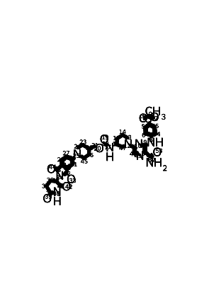 CS(=O)(=O)c1ccc(Nc2nc(N3CCC[C@@H](NC(=O)OCC4CCN(c5ccc6c(c5)C(=O)N([C@H]5CCC(=O)NC5=O)C6=O)CC4)C3)cnc2C(N)=O)cc1